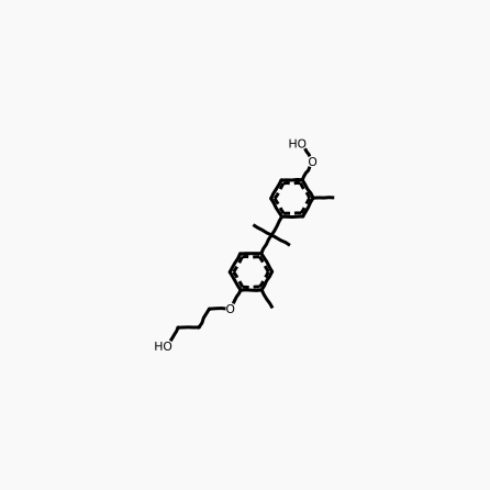 Cc1cc(C(C)(C)c2ccc(OCCCO)c(C)c2)ccc1OO